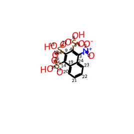 O=[N+]([O-])c1c(S(=O)(=O)O)c(S(=O)(=O)O)c(S(=O)(=O)O)c2ccccc12